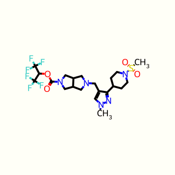 Cn1cc(CN2CC3CN(C(=O)OC(C(F)(F)F)C(F)(F)F)CC3C2)c(C2CCN(S(C)(=O)=O)CC2)n1